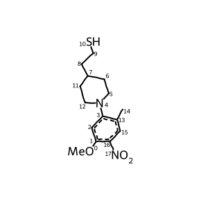 COc1cc(N2CCC(CCS)CC2)c(C)cc1[N+](=O)[O-]